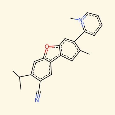 Cc1cc2c(cc1-c1cccc[n+]1C)oc1cc(C(C)C)c(C#N)cc12